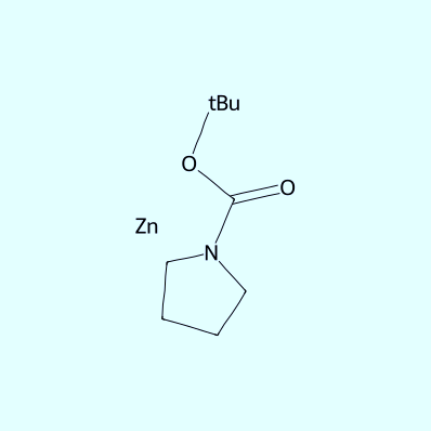 CC(C)(C)OC(=O)N1CCCC1.[Zn]